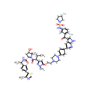 Cc1ncsc1-c1ccc(C(C)NC(=O)[C@@H]2C[C@@H](O)CN2C(=O)C(c2cc(OCCN3CCN(c4ccc(-c5cnc6[nH]cc(C(=O)c7c(F)ccc(NS(=O)(=O)N8CC[C@@H](F)C8)c7F)c6c5)cc4)CC3)n(C)n2)C(C)C)cc1